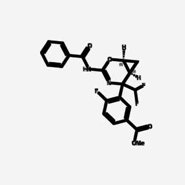 COC(=O)c1ccc(F)c(C2(C(F)F)N=C(NC(=O)c3ccccc3)O[C@H]3C[C@H]32)c1